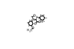 COc1cccc(N(C=O)[C@@H](Cc2ccccn2)C(=O)O)c1